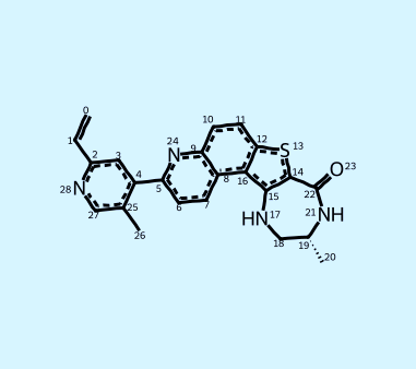 C=Cc1cc(-c2ccc3c(ccc4sc5c(c43)NC[C@@H](C)NC5=O)n2)c(C)cn1